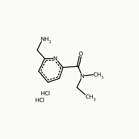 CCN(C)C(=O)c1cccc(CN)n1.Cl.Cl